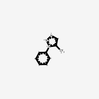 FC(F)(F)c1cnnn1-c1ccccc1